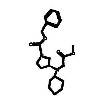 COC(=O)CN(C1CCCCC1)[C@H]1CCN(C(=O)OCc2ccccc2)C1